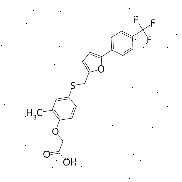 Cc1cc(SCc2ccc(-c3ccc(C(F)(F)F)cc3)o2)ccc1OCC(=O)O